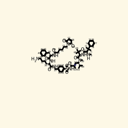 CN[C@H](C(=O)N[C@H](C(=O)N(C)[C@H](/C=C(\C)C(=O)NS(=O)(=O)c1ccc(CNC(=O)[C@@H](CCCCN)NC(=O)[C@@H](Cc2ccccc2)NC(=O)CCCCCN2C(=O)C=CC2=O)cc1)C(C)C)C(C)(C)C)C(C)(C)c1ccccc1